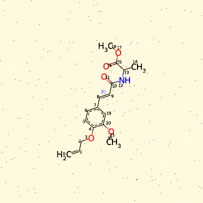 C=CCOc1ccc(/C=C/C(=O)NC(C)C(=O)OC)cc1OC